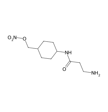 NCCC(=O)NC1CCC(CO[N+](=O)[O-])CC1